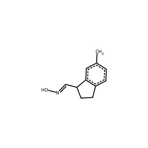 Cc1ccc2c(c1)C(/C=N/O)CC2